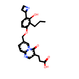 CCCc1c(OCc2ccc3ncc(CCC(=O)O)c(=O)n3c2)ccc(C2=NC=C2)c1O